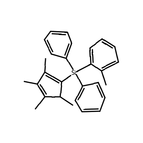 CC1=C(C)C(C)C([Si](c2ccccc2)(c2ccccc2)c2ccccc2C)=C1C